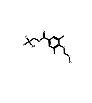 CCOCOc1c(C)cc(C(=O)OCC(F)(F)S)cc1I